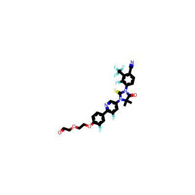 CC1(C)C(=O)N(c2ccc(C#N)c(C(F)(F)F)c2F)C(=S)N1c1cnc(-c2ccc(OCCOCC=O)c(F)c2)c(F)c1